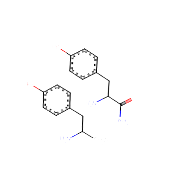 NC(=O)C(N)Cc1ccc(O)cc1.NC(Cc1ccc(O)cc1)C(=O)O